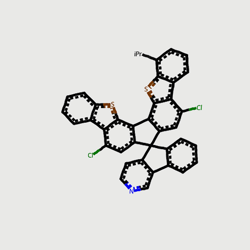 CC(C)c1cccc2c1sc1c3c(cc(Cl)c12)C1(c2ccccc2-c2cnccc21)c1cc(Cl)c2c(sc4ccccc42)c1-3